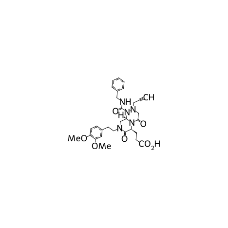 C#CCN1CC(=O)N2[C@@H](CCC(=O)O)C(=O)N(CCc3ccc(OC)c(OC)c3)C[C@@H]2N1C(=O)NCc1ccccc1